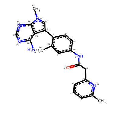 Cc1cccc(CC(=O)Nc2ccc(-c3cn(C)c4ncnc(N)c34)c(C)c2)n1